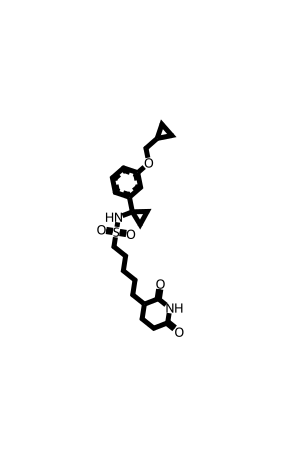 O=C1CCC(CCCCCS(=O)(=O)NC2(c3cccc(OCC4CC4)c3)CC2)C(=O)N1